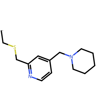 [CH2]CSCc1cc(CN2CCCCC2)ccn1